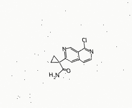 NC(=O)C1(c2cc3ccnc(Cl)c3cn2)CC1